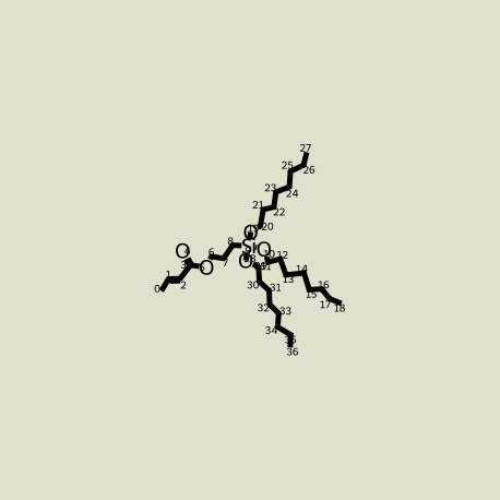 CC=CC(=O)OCCC[Si](OCCCCCCCC)(OCCCCCCCC)OCCCCCCCC